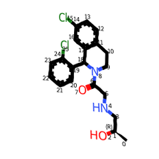 C[C@@H](O)CNCC(=O)N1CCc2ccc(Cl)cc2C1c1ccccc1Cl